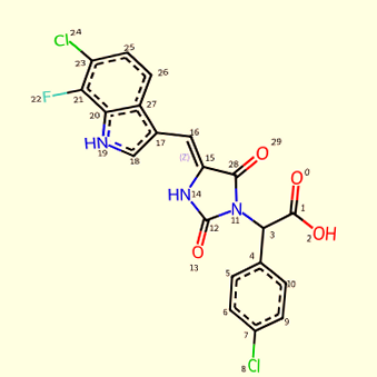 O=C(O)C(c1ccc(Cl)cc1)N1C(=O)N/C(=C\c2c[nH]c3c(F)c(Cl)ccc23)C1=O